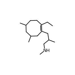 CC/C1=C(\CC(C)CNC)CC(C)CC(C)CC1